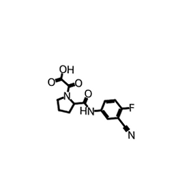 N#Cc1cc(NC(=O)C2CCCN2C(=O)C(=O)O)ccc1F